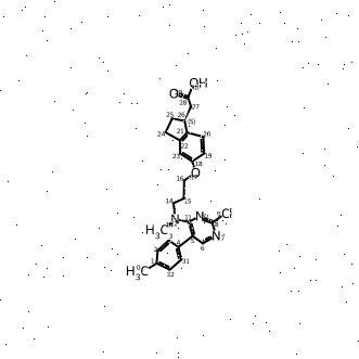 Cc1ccc(-c2cnc(Cl)nc2N(C)CCCOc2ccc3c(c2)CC[C@H]3CC(=O)O)cc1